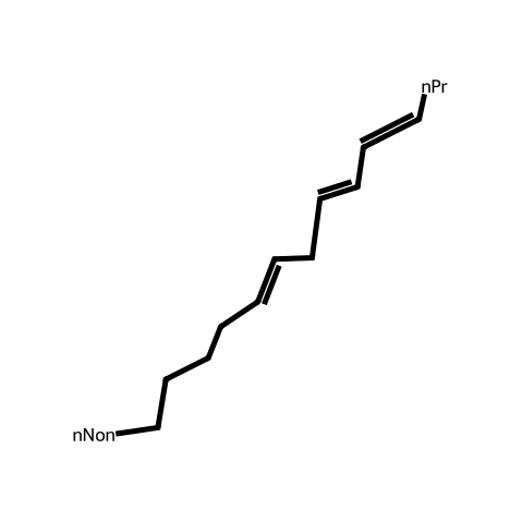 CCCC=CC=CCC=CCCCCCCCCCCCCC